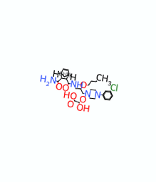 CCCCOC(CNC(=O)C1C(C(N)=O)[C@@H]2C=C[C@H]1C2)CN1CCN(c2cccc(Cl)c2)CC1.O=C(O)C(=O)O